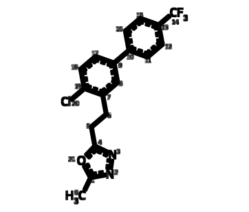 Cc1nnc(CCc2cc(-c3ccc(C(F)(F)F)cc3)ccc2Cl)o1